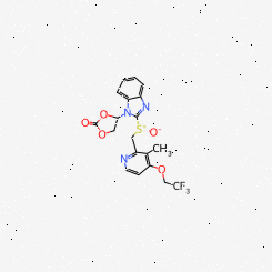 Cc1c(OCC(F)(F)F)ccnc1C[S@@+]([O-])c1nc2ccccc2n1C1COC(=O)O1